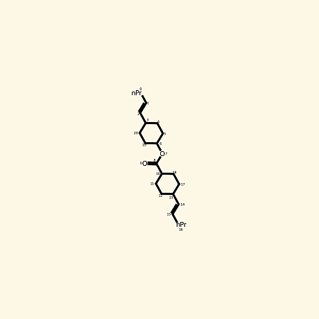 CCC/C=C/C1CCC(OC(=O)C2CCC(/C=C/CCC)CC2)CC1